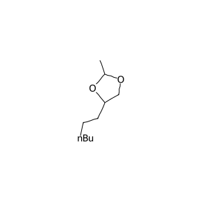 CCCCCCC1COC(C)O1